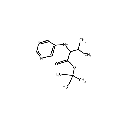 CC(C)C(Nc1cncnc1)C(=O)OC(C)(C)C